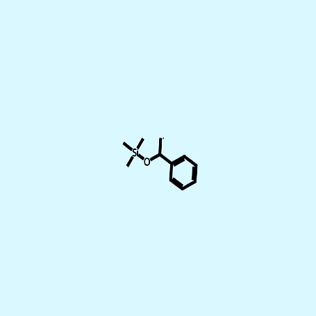 [CH2]C(O[Si](C)(C)C)c1ccccc1